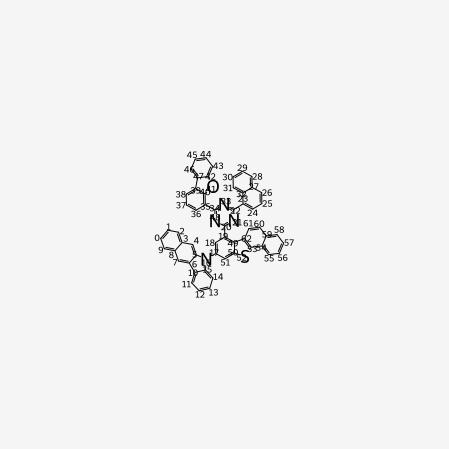 c1ccc2cc3c(cc2c1)c1ccccc1n3-c1cc(-c2nc(-c3cccc4ccccc34)nc(-c3cccc4c3oc3ccccc34)n2)c2c(c1)sc1c3ccccc3ccc12